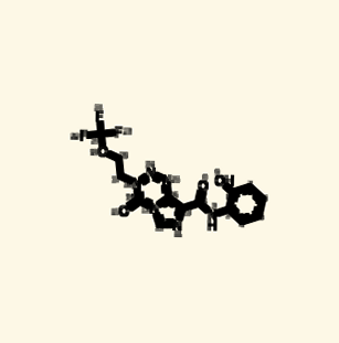 O=C(Nc1ccccc1O)c1ncn2c(=O)n(CCOC(F)(F)F)nnc12